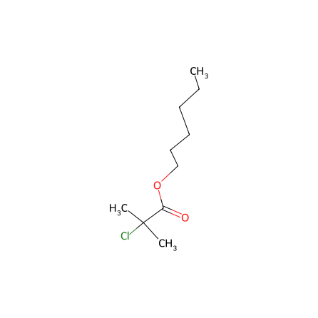 CCCCCCOC(=O)C(C)(C)Cl